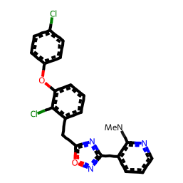 CNc1ncccc1-c1noc(Cc2cccc(Oc3ccc(Cl)cc3)c2Cl)n1